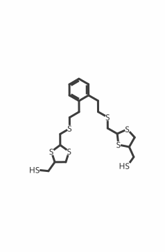 SCC1CSC(CSCCc2ccccc2CCSCC2SCC(CS)S2)S1